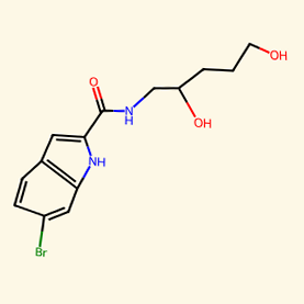 O=C(NCC(O)CCCO)c1cc2ccc(Br)cc2[nH]1